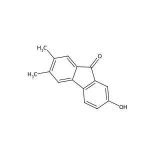 Cc1cc2c(cc1C)-c1ccc(O)cc1C2=O